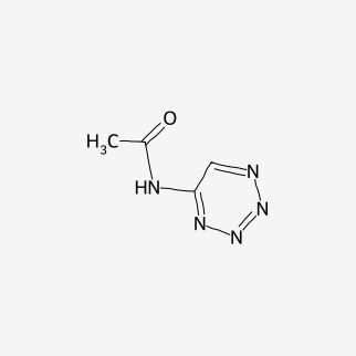 CC(=O)Nc1cnnnn1